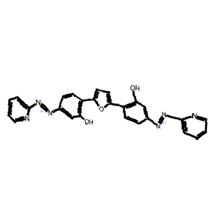 Oc1cc(/N=N/c2ccccn2)ccc1-c1ccc(-c2ccc(/N=N/c3ccccn3)cc2O)o1